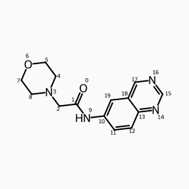 O=C(CN1CCOCC1)Nc1ccc2ncncc2c1